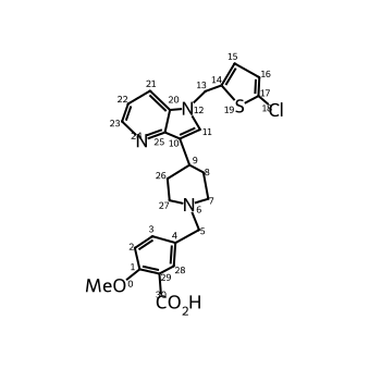 COc1ccc(CN2CCC(c3cn(Cc4ccc(Cl)s4)c4cccnc34)CC2)cc1C(=O)O